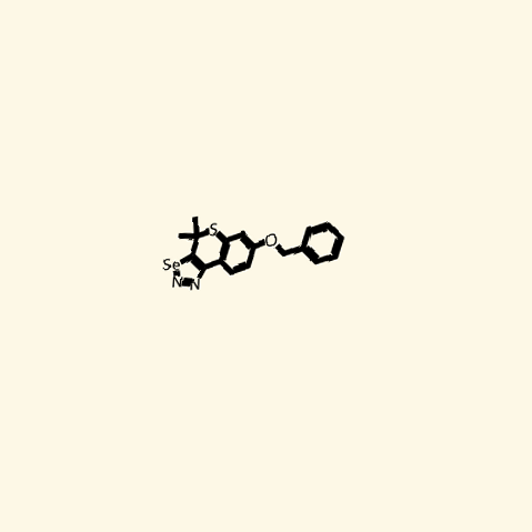 CC1(C)Sc2cc(OCc3ccccc3)ccc2-c2nn[se]c21